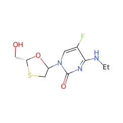 CCNc1nc(=O)n(C2CS[C@H](CO)O2)cc1F